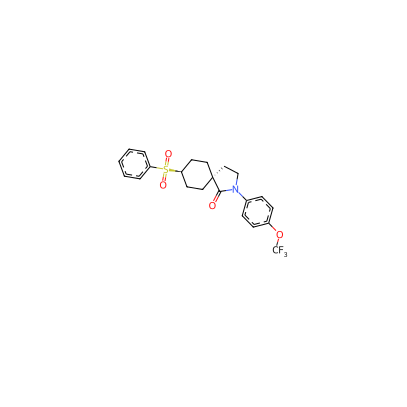 O=C1N(c2ccc(OC(F)(F)F)cc2)CC[C@]12CC[C@H](S(=O)(=O)c1ccccc1)CC2